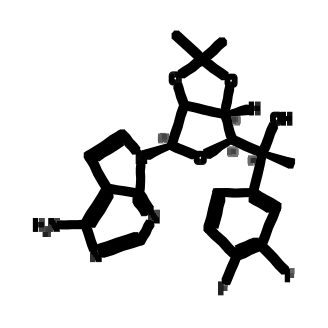 CC1(C)OC2[C@H](n3ccc4c(N)ncnc43)O[C@H]([C@](C)(O)c3ccc(F)c(F)c3)[C@H]2O1